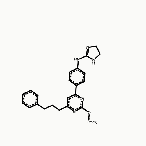 CCCCCCOc1nc(CCCc2ccccc2)cc(-c2ccc(NC3=NCCN3)cc2)n1